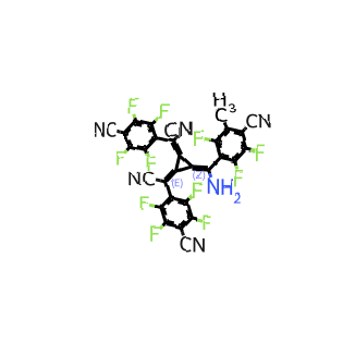 Cc1c(F)c(/C(N)=C2\C(=C(C#N)c3c(F)c(F)c(C#N)c(F)c3F)\C2=C(/C#N)c2c(F)c(F)c(C#N)c(F)c2F)c(F)c(F)c1C#N